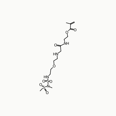 C=C(C)C(=O)OCCNC(=O)CNCCOCCNS(=O)(=O)N(C)S(C)(=O)=O